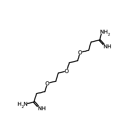 N=C(N)CCOCCOCCOCCC(=N)N